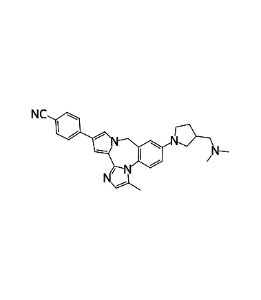 Cc1cnc2n1-c1ccc(N3CCC(CN(C)C)C3)cc1Cn1cc(-c3ccc(C#N)cc3)cc1-2